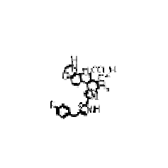 Cc1cn2nc(C3NC=C(Cc4ccc(F)cc4)S3)cc2c(-c2ccc3c(c2Cl)NCCO3)c1CC(=O)O